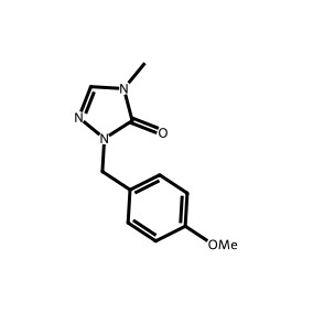 COc1ccc(Cn2ncn(C)c2=O)cc1